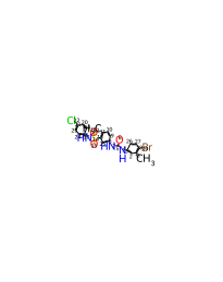 Cc1cc(NC(=O)Nc2ccc(C)c(S(=O)(=O)Nc3ccc(Cl)cc3)c2)ccc1Br